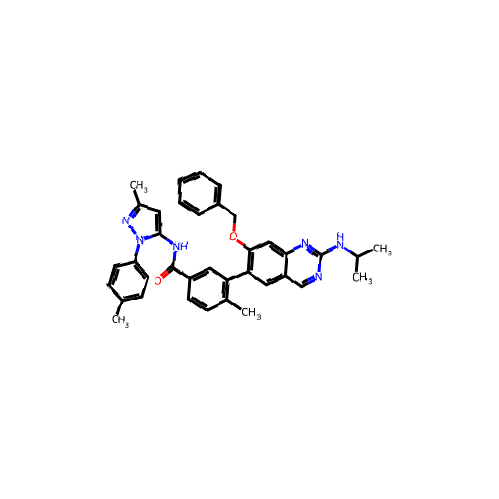 Cc1ccc(-n2nc(C)cc2NC(=O)c2ccc(C)c(-c3cc4cnc(NC(C)C)nc4cc3OCc3ccccc3)c2)cc1